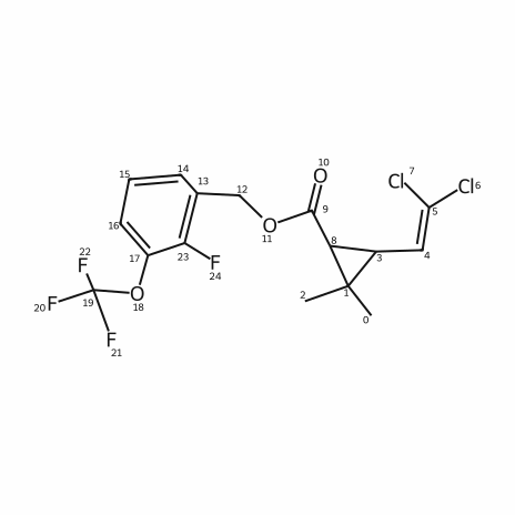 CC1(C)C(C=C(Cl)Cl)C1C(=O)OCc1cccc(OC(F)(F)F)c1F